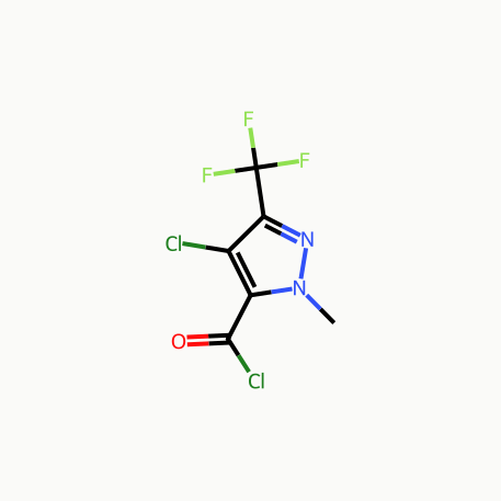 Cn1nc(C(F)(F)F)c(Cl)c1C(=O)Cl